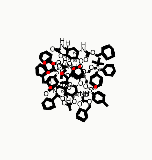 CC(=O)O[C@@H]1[C@@H](NC(=O)OCc2ccccc2)[C@@H](O[C@H]2[C@@H](CC(C)(C)[Si](O)(c3ccccc3)c3ccccc3)[C@H](O[C@@H]3[C@H]4OC(=O)N[C@@H]4C[C@H](NC(=O)OCc4ccccc4)[C@H]3O[C@H]3O[C@H](COS(=O)(=O)c4ccc(C)cc4)C[C@@H](OC(C)=O)[C@H]3NC(=O)OCc3ccccc3)O[C@@H]2CO[Si](c2ccccc2)(c2ccccc2)C(C)(C)C)O[C@H]2CN(C(=O)OCc3ccccc3)C(c3ccccc3)O[C@@H]12